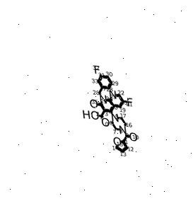 O=C(O)c1c(N2CCN(C(=O)c3ccco3)CC2)c2cc(F)cnc2n(Cc2cccc(F)c2)c1=O